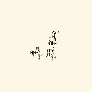 CC(C)NC(=NN(C)C)NC(C)C.CC(C)NC(=NN(C)C)NC(C)C.CC(C)NC(=NN(C)C)NC(C)C.[Gd+3]